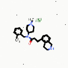 CN1CCC(N(Cc2ccccc2C(F)(F)F)C(=O)CCc2cccc3c2CCNC3)CC1.Cl.Cl